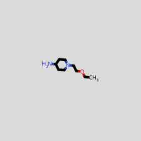 CCOCCN1CCC(N)CC1